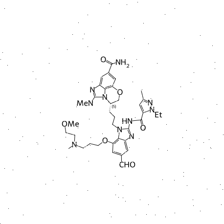 CCn1nc(C)cc1C(=O)Nc1nc2cc(C=O)cc(OCCCN(C)CCOC)c2n1CCC[C@H]1COc2cc(C(N)=O)cc3nc(NC)n1c23